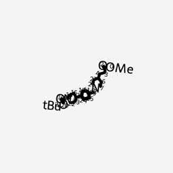 COC(=O)CCC1CCN(Cc2ccc(C3CCN(C(=O)OC(C)(C)C)CC3)cc2)CC1